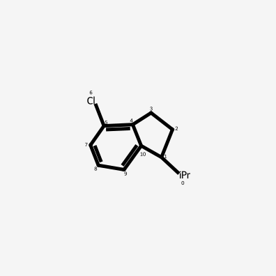 CC(C)C1CCc2c(Cl)cccc21